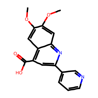 COc1cc2nc(-c3cccnc3)cc(C(=O)O)c2cc1OC